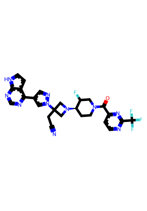 N#CCC1(n2cc(-c3ncnc4[nH]ccc34)cn2)CN([C@@H]2CCN(C(=O)c3ccnc(C(F)(F)F)n3)CC2F)C1